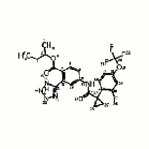 CCC(C)OC(=O)c1ccc(NC(=O)C2(c3ccc(OC(F)(F)F)cc3F)CC2)cc1-c1nnn[nH]1